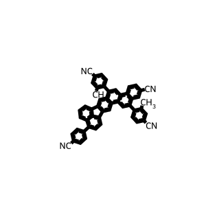 Cc1cc(C#N)ccc1-c1cc2c3cc4c(cc3c(-c3ccc(C#N)cc3C)cc2c2ccc(C#N)cc12)-c1cccc2c(-c3ccc(C#N)cc3)ccc-4c12